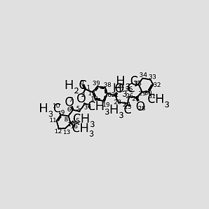 C=C(OC(C)CC(=O)C1C(C)=CCCC1(C)C)c1ccc(C(=O)CC(C)CC(=O)C2C(C)=CCCC2(C)C)cc1